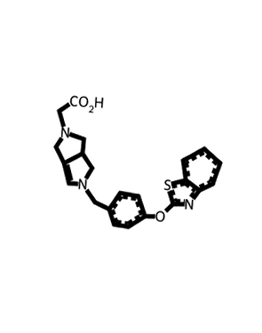 O=C(O)CN1CC2=CN(Cc3ccc(Oc4nc5ccccc5s4)cc3)CC2C1